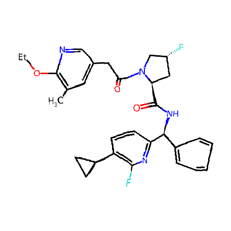 CCOc1ncc(CC(=O)N2C[C@H](F)C[C@H]2C(=O)N[C@@H](c2ccccc2)c2ccc(C3CC3)c(F)n2)cc1C